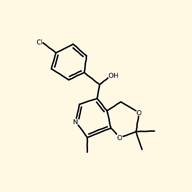 Cc1ncc(C(O)c2ccc(Cl)cc2)c2c1OC(C)(C)OC2